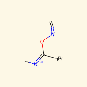 C=NO/C(=N\C)C(C)C